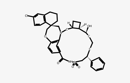 O=C1NS(=O)(=O)C[C@@H](c2ccccc2)CCC[C@H](O)[C@@H]2CC[C@H]2CN2C[C@@]3(CCCc4cc(Cl)ccc43)COc3ccc1cc32